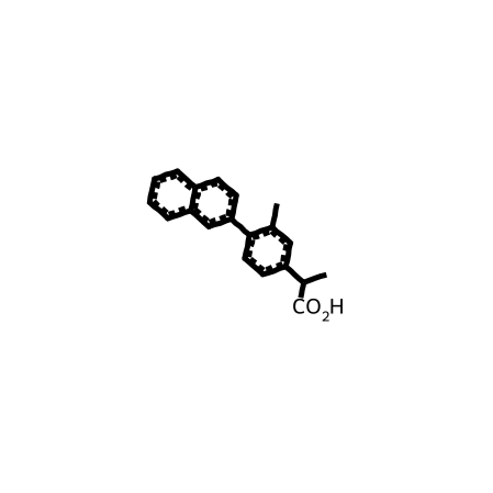 Cc1cc(C(C)C(=O)O)ccc1-c1ccc2ccccc2c1